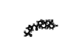 C[C@H]1CC[C@]2(F)C3CC[C@@]4(C)C(CC[C@@H]4C(=O)Cn4cc(C(=O)N(C)C)cn4)[C@@H]3CC[C@@H]2C1